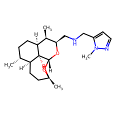 C[C@H]1[C@@H](CNCc2ccnn2C)O[C@@H]2O[C@@]3(C)CC[C@H]4[C@H](C)CC[C@@H]1[C@@]24OO3